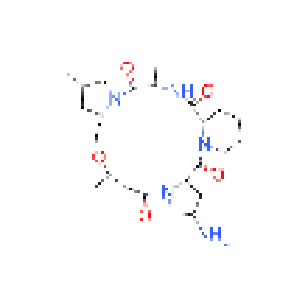 CC1CC2COC(C)CC(=O)N3CC(N)CC3C(=O)N3CCCCC3C(=O)NC(C)C(=O)N2C1